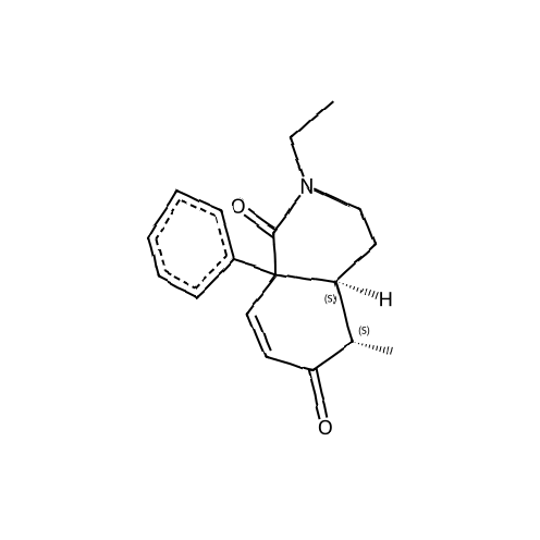 CCN1CC[C@H]2[C@H](C)C(=O)C=CC2(c2ccccc2)C1=O